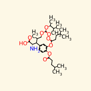 CC(C)CCC(=O)Oc1ccc(C(C(C)COC(=O)OC(C)C(C)C)[C@H](N)C(=O)O)cc1OC(=O)CCC(C)C